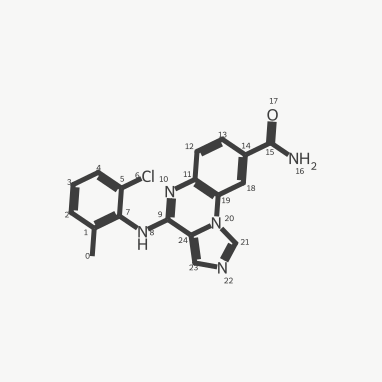 Cc1cccc(Cl)c1Nc1nc2ccc(C(N)=O)cc2n2cncc12